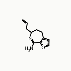 C=CCC1CCc2ccoc2C(N)=N1